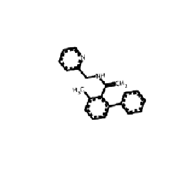 C=C(NCc1ccccn1)c1c(C)cccc1-c1ccccc1